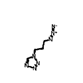 [N-]=[N+]=NCCCn1cnnn1